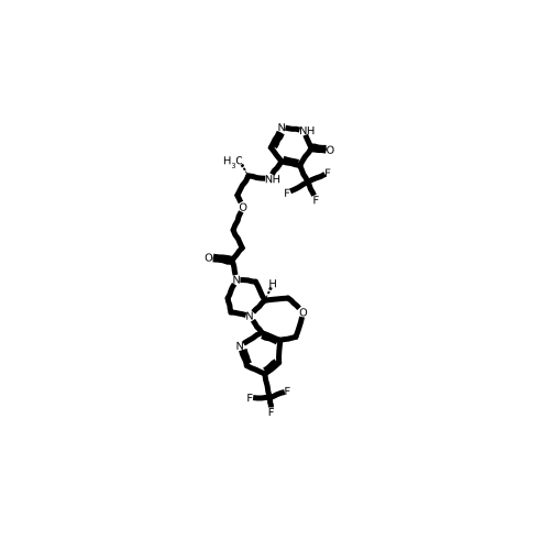 C[C@@H](COCCC(=O)N1CCN2c3ncc(C(F)(F)F)cc3COC[C@@H]2C1)Nc1cn[nH]c(=O)c1C(F)(F)F